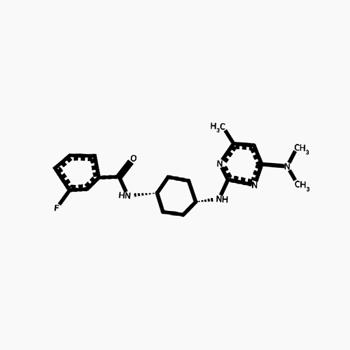 Cc1cc(N(C)C)nc(N[C@H]2CC[C@@H](NC(=O)c3cccc(F)c3)CC2)n1